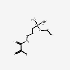 C=C(C)C(=O)OCCC[Si](O)(O)OCC